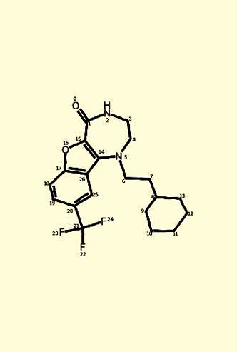 O=C1NCCN(CCC2CCCCC2)c2c1oc1ccc(C(F)(F)F)cc21